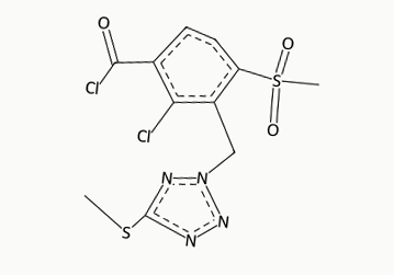 CSc1nnn(Cc2c(S(C)(=O)=O)ccc(C(=O)Cl)c2Cl)n1